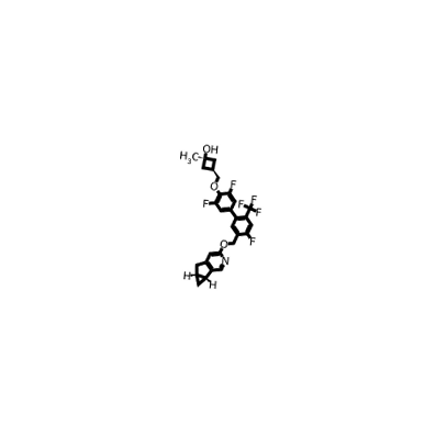 C[C@]1(O)C[C@@H](COc2c(F)cc(-c3cc(COc4cc5c(cn4)[C@@H]4C[C@@H]4C5)c(F)cc3C(F)(F)F)cc2F)C1